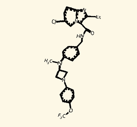 CCc1nc2ccc(Cl)cn2c1C(=O)NCc1ccc(N(C)C2CN(c3ccc(OC(F)(F)F)cc3)C2)cc1